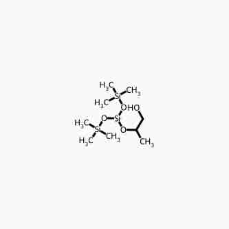 CC(CO)O[Si](O[Si](C)(C)C)O[Si](C)(C)C